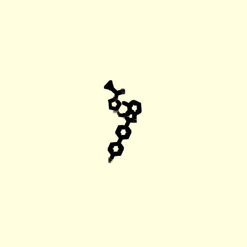 Cc1cccc2nc(-c3ccc(-c4ccc(F)cc4)cc3)n(C[C@@H]3CCN(C(=O)C4CC4)C3)c12